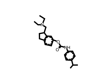 CCN(CC)CC1CCc2ccc(OC(=O)Nc3ccc(C(C)C)cc3)cc21